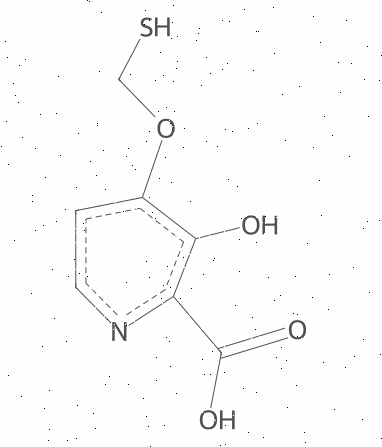 O=C(O)c1nccc(OCS)c1O